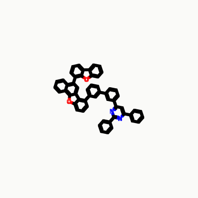 c1ccc(-c2cc(-c3cccc(-c4cccc(-c5cccc6oc7c8ccccc8c(-c8cccc9c8oc8ccccc89)cc7c56)c4)c3)nc(-c3ccccc3)n2)cc1